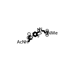 CNS(=O)(=O)CCc1nnc(-c2ccc(N3CC(CNC(C)=O)OC3=O)cc2F)s1